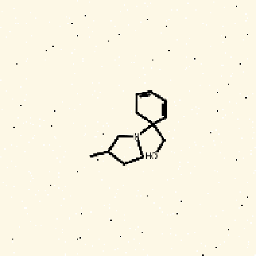 CC1CCN(C2(CO)C=CC=CC2)C1